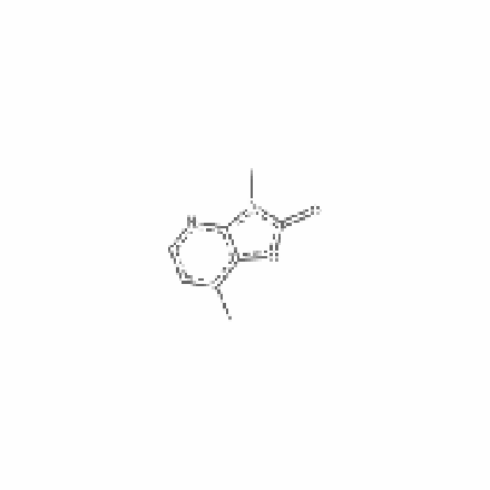 Cc1ccnc2c1oc(=O)n2C